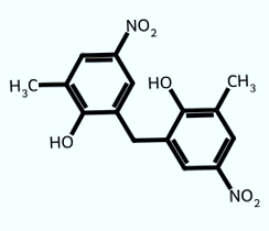 Cc1cc([N+](=O)[O-])cc(Cc2cc([N+](=O)[O-])cc(C)c2O)c1O